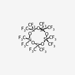 FC(F)(F)[Si]1(C(F)(F)F)O[Si](C(F)(F)F)(C(F)(F)F)O[Si](C(F)(F)F)(C(F)(F)F)O[Si](C(F)(F)F)(C(F)(F)F)O[Si](C(F)(F)F)(C(F)(F)F)O1